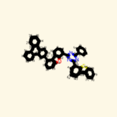 c1ccc(-c2nc(-c3cccc4c3oc3cccc(-c5ccc6c7ccccc7c7ccccc7c6c5)c34)nc(-c3cccc4c3sc3ccccc34)n2)cc1